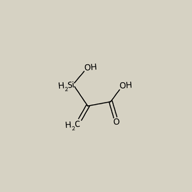 C=C([SiH2]O)C(=O)O